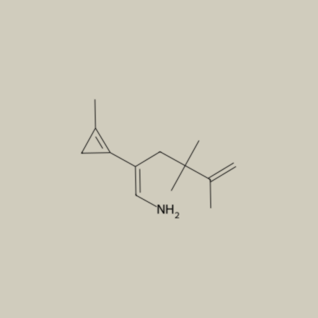 C=C(C)C(C)(C)C/C(=C\N)C1=C(C)C1